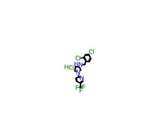 Cl.FC(F)(F)c1ccc(N2CCC(NCc3ccc(Cl)cc3Cl)C2)nc1